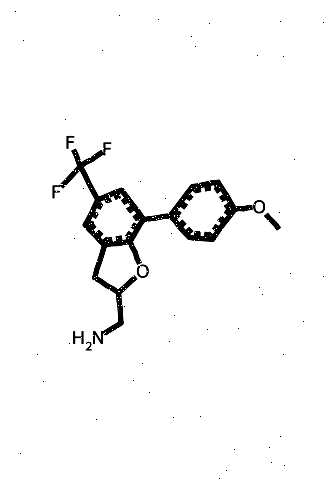 COc1ccc(-c2cc(C(F)(F)F)cc3c2OC(CN)C3)cc1